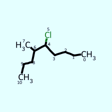 CCCCC(Cl)C(C)CCC